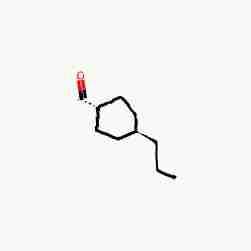 CCC[C@H]1CC[C@H]([C]=O)CC1